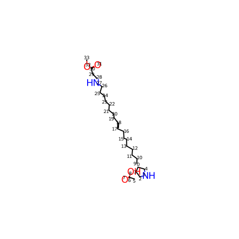 C1CCNC1.CC(=O)O.CCCCCCCC/C=C/CCCCCCCCNCCC(=O)OC